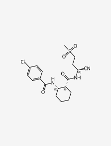 CS(=O)(=O)CC[C@@H](C#N)NC(=O)[C@@H]1CCCC[C@@H]1NC(=O)c1ccc(Cl)cc1